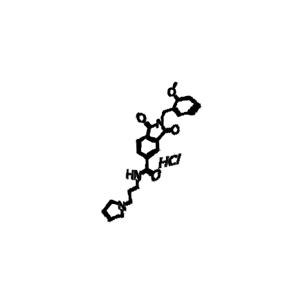 COc1ccccc1CN1C(=O)c2ccc(C(=O)NCCCN3CCCC3)cc2C1=O.Cl